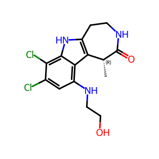 C[C@H]1C(=O)NCCc2[nH]c3c(Cl)c(Cl)cc(NCCO)c3c21